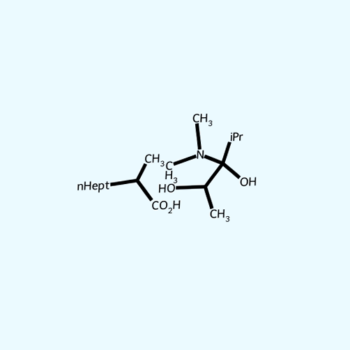 CC(C)C(O)(C(C)O)N(C)C.CCCCCCCC(C)C(=O)O